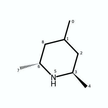 CC1C[C@@H](C)N[C@H](C)C1